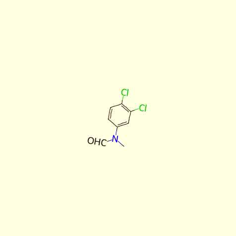 CN(C=O)c1ccc(Cl)c(Cl)c1